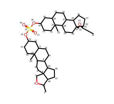 CC1OCC23CCC4C(CCC5CC(OS(=O)(=O)OC6CCC7(C)C(CCC8C7CCC79COC(C)C7CCC89)C6)CCC54C)C2CCC13